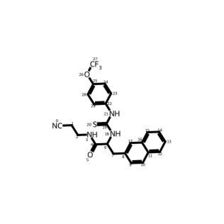 N#CCCNC(=O)C(Cc1ccc2ccccc2c1)NC(=S)Nc1ccc(OC(F)(F)F)cc1